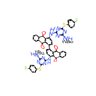 CCCCNc1nc(Nc2ccc(-c3ccc(Nc4nc(NCCCC)nc(Sc5ccc(F)cc5)n4)c4c3C(=O)c3ccccc3C4=O)c3c2C(=O)c2ccccc2C3=O)nc(Sc2ccc(F)cc2)n1